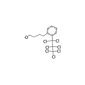 [O]CCCCc1ccccc1C(Cl)(Cl)C(Cl)(Cl)C(Cl)(Cl)Cl